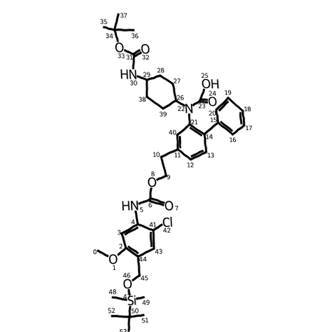 COc1cc(NC(=O)OCCc2ccc(-c3ccccc3)c(N(C(=O)O)C3CCC(NC(=O)OC(C)(C)C)CC3)c2)c(Cl)cc1CO[Si](C)(C)C(C)(C)C